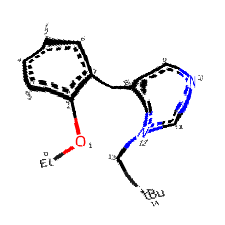 CCOc1ccccc1-c1cncn1CC(C)(C)C